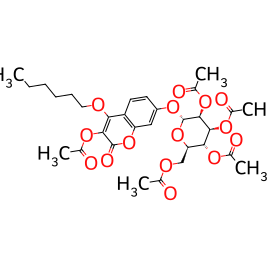 CCCCCCOc1c(OC(C)=O)c(=O)oc2cc(O[C@H]3O[C@H](COC(C)=O)[C@@H](OC(C)=O)[C@H](OC(C)=O)[C@@H]3OC(C)=O)ccc12